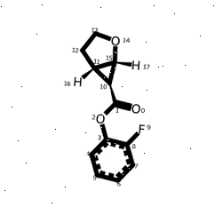 O=C(Oc1ccccc1F)[C@H]1[C@@H]2CCO[C@@H]21